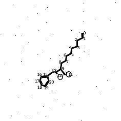 C=CCCCCCCCC1C(=O)O[C@@H]1Cc1ccccc1